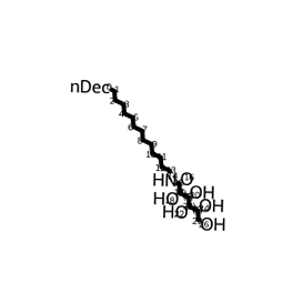 CCCCCCCCCCCCCCCCCCCCCCCNC(=O)[C@H](O)[C@@H](O)[C@H](O)[C@@H](O)CO